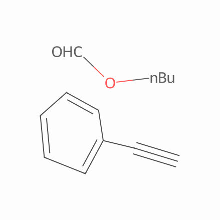 C#Cc1ccccc1.CCCCOC=O